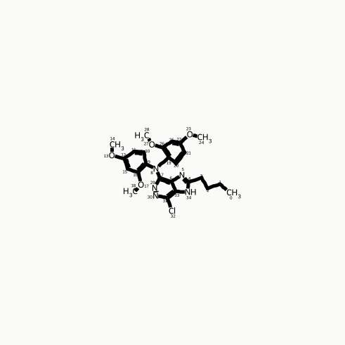 CCCCc1nc2c(N(c3ccc(OC)cc3OC)c3ccc(OC)cc3OC)nnc(Cl)c2[nH]1